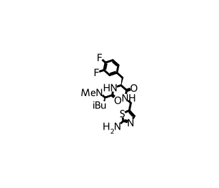 CCC(C)[C@@H](NC)C(=O)N[C@@H](Cc1ccc(F)c(F)c1)C(=O)NCc1cnc(N)s1